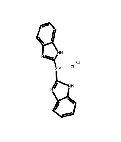 [Cl-].[Cl-].c1ccc2[nH][c]([Zr+2][c]3nc4ccccc4[nH]3)nc2c1